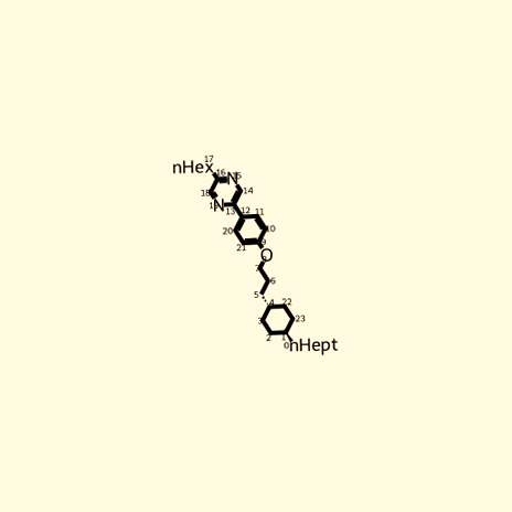 CCCCCCC[C@H]1CC[C@H](CCCOc2ccc(-c3cnc(CCCCCC)cn3)cc2)CC1